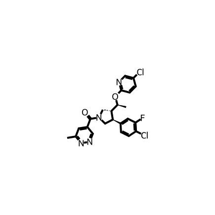 Cc1cc(C(=O)N2C[C@H]([C@H](C)Oc3ccc(Cl)cn3)[C@@H](c3ccc(Cl)c(F)c3)C2)cnn1